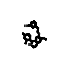 COc1cc2c(cc1OCCc1cccc(O)c1)C(c1ccc(C)cc1C)NCC2